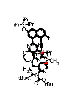 CC(c1cccnc1N(C(=O)OC(C)(C)C)C(=O)OC(C)(C)C)N1CCOc2nc(-c3cc(O[Si](C(C)C)(C(C)C)C(C)C)cc4ccc(F)c(C#C[Si](C(C)C)(C(C)C)C(C)C)c34)c(F)c3nc(S(C)(=O)=O)nc1c23